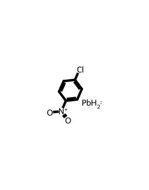 O=[N+]([O-])c1ccc(Cl)cc1.[PbH2]